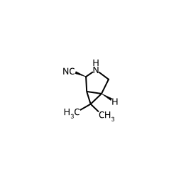 CC1(C)C2[C@@H](C#N)NC[C@@H]21